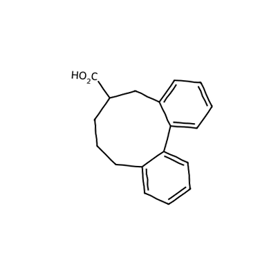 O=C(O)C1CCCc2ccccc2-c2ccccc2C1